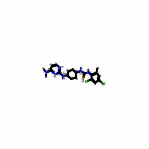 Cc1cc(Cl)cc(Cl)c1NC(=S)NC1CCC(Nc2nccc(N(C)C)n2)CC1